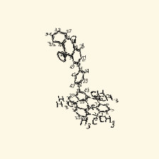 CC1(C)c2cccc3c2N2c4c1cccc4C(C)(C)c1cc(-c4ccc(-c5ccc6oc7ccccc7c(=O)c6c5)cc4)cc(c12)C3(C)C